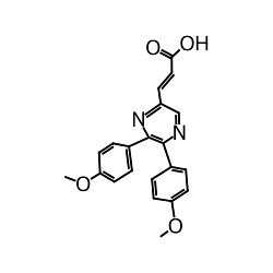 COc1ccc(-c2ncc(/C=C/C(=O)O)nc2-c2ccc(OC)cc2)cc1